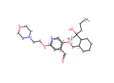 CCCC(C)(O)C1CCCCC1COc1cnc(OCCN2CCOCC2)cc1C=O